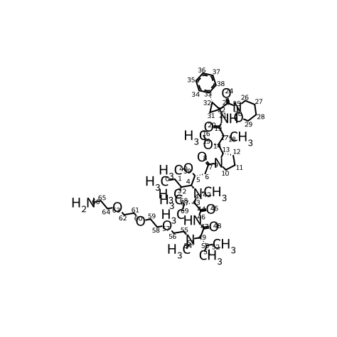 CC[C@H](C)[C@@H]([C@@H](CC(=O)N1CCC[C@H]1[C@H](OC)[C@@H](C)C(=O)N[C@@]1(C(=O)N2CCCCO2)C[C@@H]1c1ccccc1)OC)N(C)[C@H](C(=O)NC(=O)[C@H](C(C)C)N(C)CCOCCOCCOCCN)C(C)C